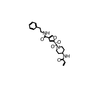 C=CC(=O)NC1CCN(S(=O)(=O)c2cc(C(=O)NCCc3ccccc3)co2)CC1